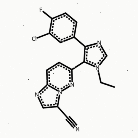 CCn1cnc(-c2ccc(F)c(Cl)c2)c1-c1ccc2ncc(C#N)n2n1